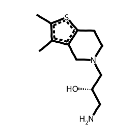 Cc1sc2c(c1C)CN(C[C@@H](O)CN)CC2